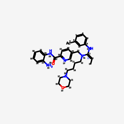 C/C=C(/Nc1cccc(C(C)=O)c1)N(CCCCN1CCOCC1)Cc1ccc(C(=O)Nc2ccccc2N)nc1